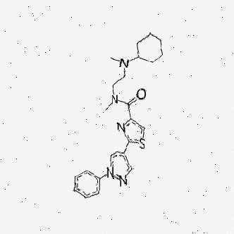 CN(CCN(C)C1CCCCC1)C(=O)c1csc(-c2cnn(-c3ccccc3)c2)n1